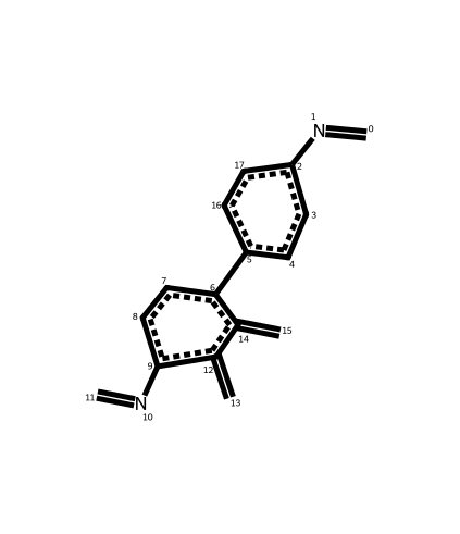 C=Nc1ccc(-c2ccc(N=C)c(=C)c2=C)cc1